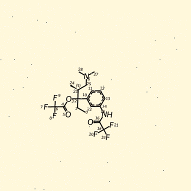 CCC(OC(=O)C(F)(F)F)(c1cccc(NC(=O)C(F)(F)F)c1)[C@@H](C)CN(C)C